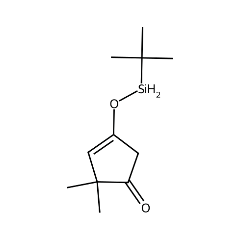 CC(C)(C)[SiH2]OC1=CC(C)(C)C(=O)C1